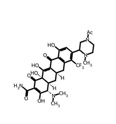 CC(=O)N1CCN(C)C(c2cc(O)c3c(c2C(F)(F)F)C[C@H]2C[C@H]4[C@H](N(C)C)C(O)=C(C(N)=O)C(=O)[C@@]4(O)C(O)=C2C3=O)C1